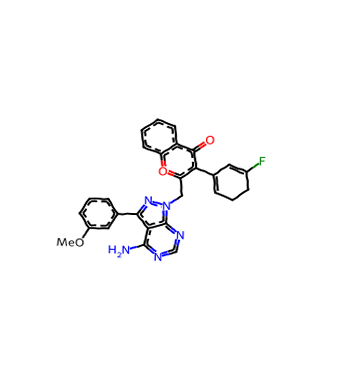 COc1cccc(-c2nn(Cc3oc4ccccc4c(=O)c3C3=CCCC(F)=C3)c3ncnc(N)c23)c1